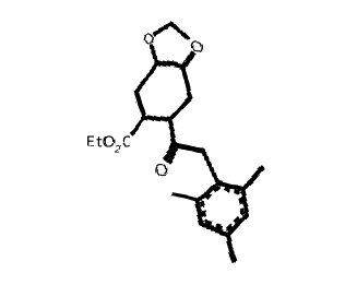 CCOC(=O)C1CC2OCOC2CC1C(=O)Cc1c(C)cc(C)cc1C